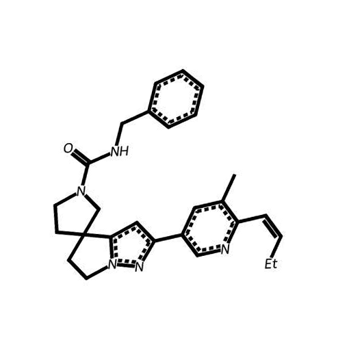 CC/C=C\c1ncc(-c2cc3n(n2)CCC32CCN(C(=O)NCc3ccccc3)C2)cc1C